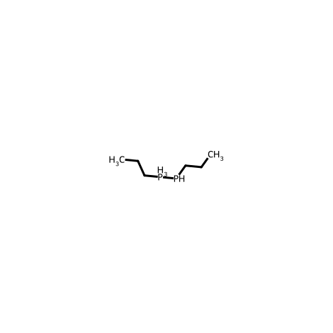 CCCP[PH3]CCC